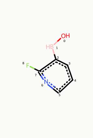 OBc1cccnc1F